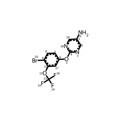 Nc1cnc(Oc2ccc(Br)c(OC(F)(F)F)c2)nc1